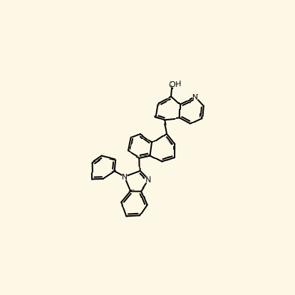 Oc1ccc(-c2cccc3c(-c4nc5ccccc5n4-c4ccccc4)cccc23)c2cccnc12